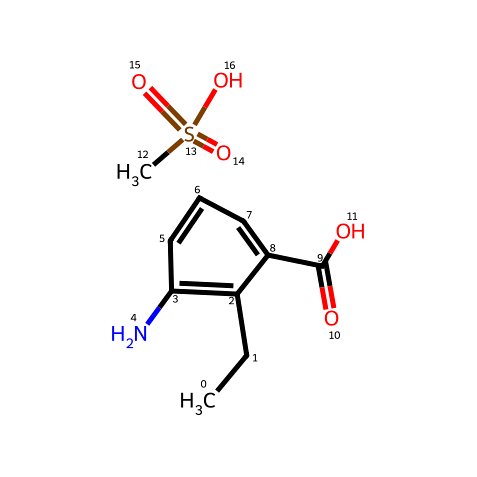 CCc1c(N)cccc1C(=O)O.CS(=O)(=O)O